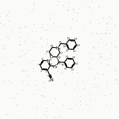 N#Cc1cccnc1SC(c1ccccc1)[C@@H]1CN(Cc2ccccc2)CCO1